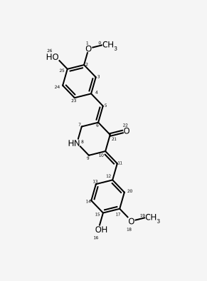 COc1cc(C=C2CNCC(=Cc3ccc(O)c(OC)c3)C2=O)ccc1O